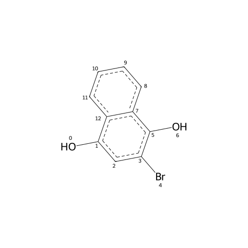 Oc1cc(Br)c(O)c2ccccc12